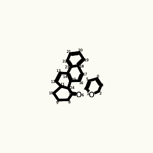 C1=CCOC=C1.O=C1CCCC2C=Cc3c(ccc4ccccc34)C12